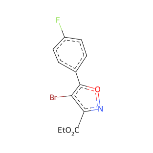 CCOC(=O)c1noc(-c2ccc(F)cc2)c1Br